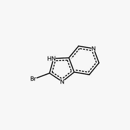 Brc1nc2ccncc2[nH]1